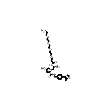 Cc1ncsc1-c1ccc(CNC(=O)[C@@H]2C[C@@H](O)CN2C[C@@H](NC(=O)CCOCCOCCOCCOCCN)C(C)(C)C)cc1